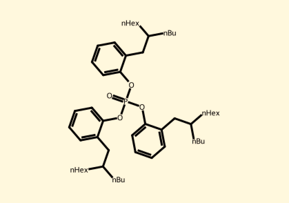 CCCCCCC(CCCC)Cc1ccccc1OP(=O)(Oc1ccccc1CC(CCCC)CCCCCC)Oc1ccccc1CC(CCCC)CCCCCC